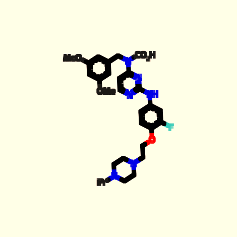 COc1cc(CN(C(=O)O)c2ccnc(Nc3ccc(OCCN4CCN(C(C)C)CC4)c(F)c3)n2)cc(OC)c1